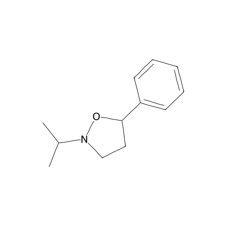 CC(C)N1CCC(c2ccccc2)O1